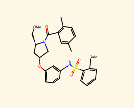 COC[C@@H]1C[C@H](Oc2cccc(NS(=O)(=O)c3ccccc3OC)c2)CN1C(=O)c1cc(C)ccc1C